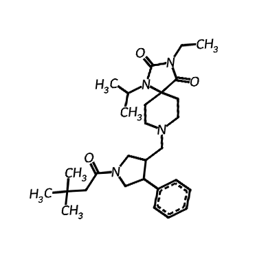 CCN1C(=O)N(C(C)C)C2(CCN(CC3CN(C(=O)CC(C)(C)C)CC3c3ccccc3)CC2)C1=O